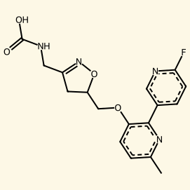 Cc1ccc(OCC2CC(CNC(=O)O)=NO2)c(-c2ccc(F)nc2)n1